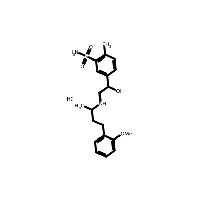 COc1ccccc1CCC(C)NCC(O)c1ccc(C)c(S(N)(=O)=O)c1.Cl